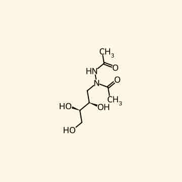 CC(=O)NN(C[C@@H](O)[C@H](O)CO)C(C)=O